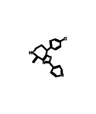 C=C1NCCC(c2ccc(Cl)cc2)c2sc(-c3ccncc3)nc21